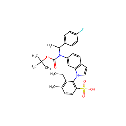 CCc1c(C)ccc(S(=O)(=O)O)c1-n1ccc2ccc(N(C(=O)OC(C)(C)C)C(C)c3ccc(F)cc3)cc21